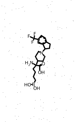 NC(CCCCB(O)O)(C(=O)O)C1CCN(C2CCc3ccc(C(F)(F)F)cc32)CC1